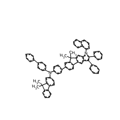 CC1(C)c2ccccc2-c2ccc(N(c3ccc(-c4ccccc4)cc3)c3ccc(-c4ccc5c(c4)C(C)(C)c4cc6c(cc4-5)c(-c4ccccc4)c(-c4ccccc4)n6-c4cccc5ccccc45)cc3)cc21